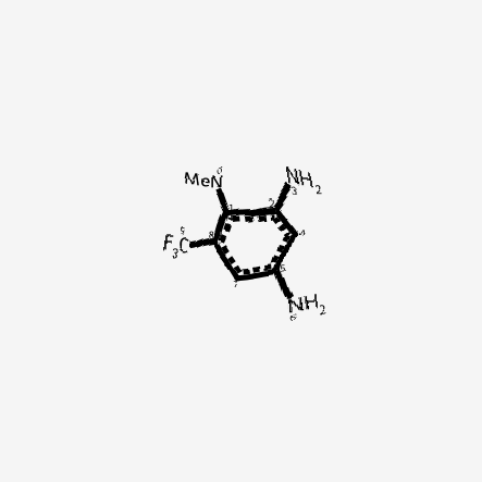 CNc1c(N)cc(N)cc1C(F)(F)F